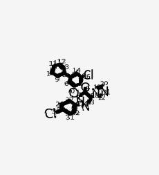 O=c1c(Oc2ccc(-c3ccccc3)cc2Cl)c(-n2ccnc2)cnn1-c1ccc(Cl)cc1